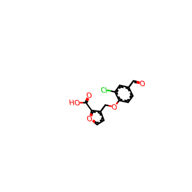 O=Cc1ccc(OCc2ccoc2C(=O)O)c(Cl)c1